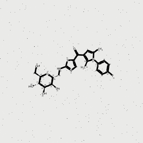 Cc1cc(C(=O)c2cnc(NC[C@H]3O[C@H](CO)[C@@H](O)[C@H](O)[C@@H]3O)s2)c(C)n1-c1ccc(F)cc1